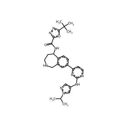 CC(C)n1cc(Nc2nccc(-c3ccc4c(c3)CNCCC4NC(=O)c3nnc(C(C)(C)C)o3)n2)cn1